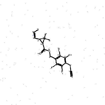 C#CCc1c(F)c(F)c(COC(=O)C2C(/C=C\C)C2(C)C)c(F)c1F